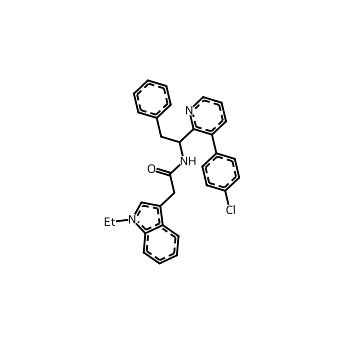 CCn1cc(CC(=O)NC(Cc2ccccc2)c2ncccc2-c2ccc(Cl)cc2)c2ccccc21